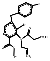 C=CCN(C(=O)CC(=O)OCC)c1c(C(=O)OC(C)C)ncc(Cc2ccc(F)cc2)c1Br